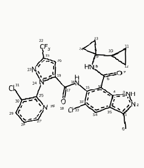 Cc1n[nH]c2c(C(=O)NC3(C4CC4)CC3)c(NC(=O)c3cc(C(F)(F)F)nn3-c3ncccc3Cl)c(Cl)cc12